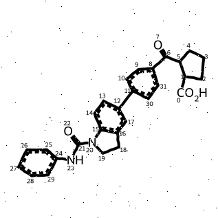 O=C(O)C1CCCC1C(=O)c1ccc(-c2ccc3c(c2)CCN3C(=O)Nc2ccccc2)cc1